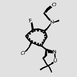 CN(C=O)c1cc(C2=NOC(C)(C)C2)c(Cl)cc1F